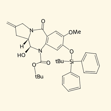 C=C1C[C@H]2[C@H](O)N(C(=O)OC(C)(C)C)c3cc(O[Si](c4ccccc4)(c4ccccc4)C(C)(C)C)c(OC)cc3C(=O)N2C1